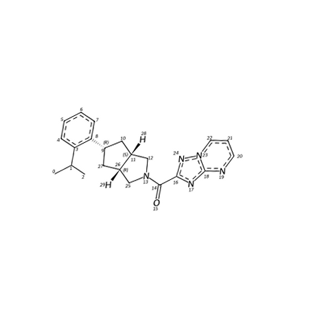 CC(C)c1ccccc1[C@@H]1C[C@@H]2CN(C(=O)c3nc4ncccn4n3)C[C@@H]2C1